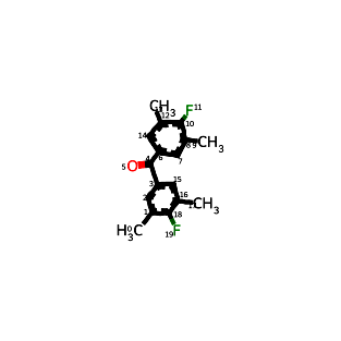 Cc1cc(C(=O)c2cc(C)c(F)c(C)c2)cc(C)c1F